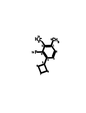 Cc1ccc(C2CCC2)c(F)c1C